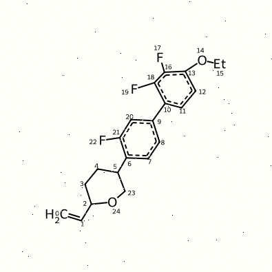 C=CC1CCC(c2ccc(-c3ccc(OCC)c(F)c3F)cc2F)CO1